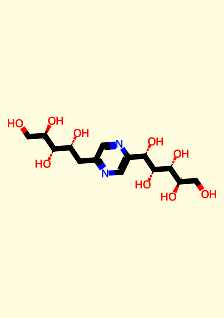 OC[C@@H](O)[C@@H](O)[C@H](O)Cc1cnc([C@H](O)[C@@H](O)[C@H](O)[C@H](O)CO)cn1